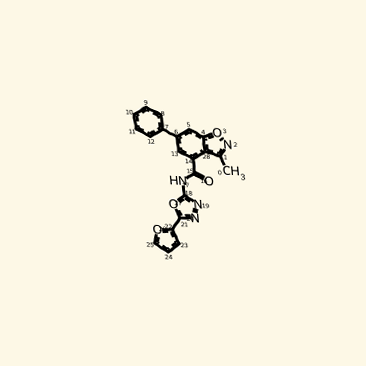 Cc1noc2cc(-c3ccccc3)cc(C(=O)Nc3nnc(-c4ccco4)o3)c12